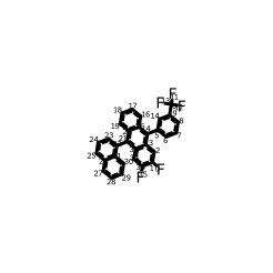 Fc1cc2c(-c3cccc(C(F)(F)F)c3)c3ccccc3c(-c3cccc4ccccc34)c2cc1F